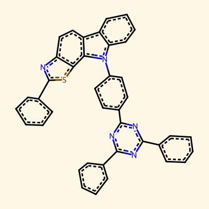 c1ccc(-c2nc(-c3ccccc3)nc(-c3ccc(-n4c5ccccc5c5ccc6nc(-c7ccccc7)sc6c54)cc3)n2)cc1